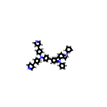 c1ccc(-n2ccc3c2ccc2c4cc(-c5ccc(N(c6ccc(-c7ccncc7)cc6)c6ccc(-c7ccncc7)cc6)cc5)ccc4n(-c4ccccc4)c23)cc1